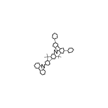 CC1(C)c2cc(-n3c4ccccc4c4ccccc43)ccc2-c2cc3c(cc21)-n1c2ccc(-c4ccccc4)cc2c2cc(-c4ccccc4)cc(c21)C3(C)C